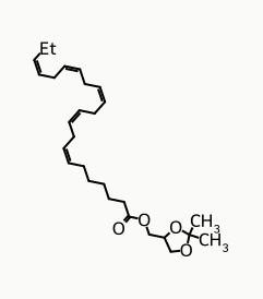 CC/C=C\C/C=C\C/C=C\C/C=C\C/C=C\CCCCCC(=O)OCC1COC(C)(C)O1